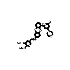 COc1cc(CNc2ccc3c(c2)Sc2cccc(-c4cc(N5CCOCC5)cc(=O)[nH]4)c2O3)cnc1OC